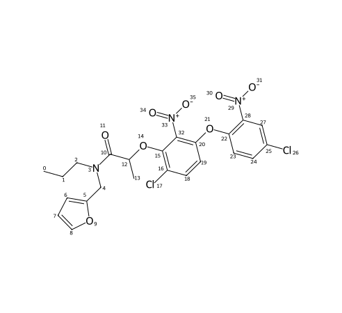 CCCN(Cc1ccco1)C(=O)C(C)Oc1c(Cl)ccc(Oc2ccc(Cl)cc2[N+](=O)[O-])c1[N+](=O)[O-]